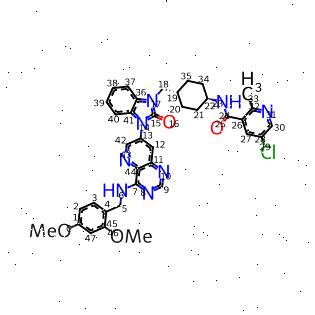 COc1ccc(CNc2ncnc3cc(-n4c(=O)n(C[C@H]5CC[C@H](NC(=O)c6cc(Cl)cnc6C)CC5)c5ccccc54)cnc23)c(OC)c1